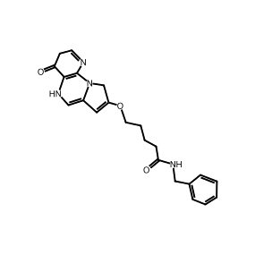 O=C(CCCCOC1=CC2=CNC3=C(N=CCC3=O)N2C1)NCc1ccccc1